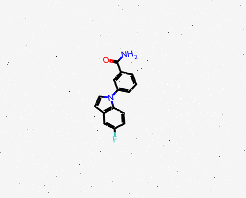 NC(=O)c1cccc(-n2ccc3cc(F)ccc32)c1